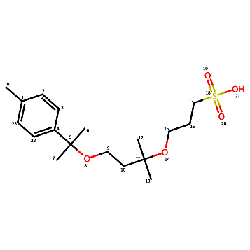 Cc1ccc(C(C)(C)OCCC(C)(C)OCCCS(=O)(=O)O)cc1